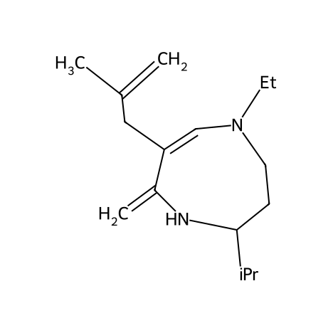 C=C(C)C/C1=C/N(CC)CCC(C(C)C)NC1=C